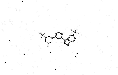 CC1CC(P(C)(C)=O)CN(c2cc(-c3cnc4ccc(C(F)(F)F)nn34)ncn2)C1